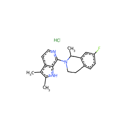 Cc1[nH]c2c(N3CCc4ccc(F)cc4C3C)nccc2c1C.Cl